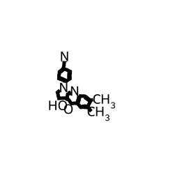 Cc1cc2c(cc1C)C(=O)C1(O)CCN(c3ccc(C#N)cc3)C1=N2